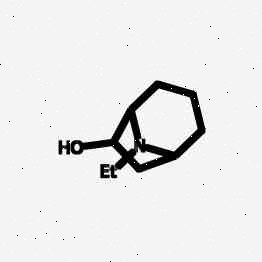 CCN1C2CCCC1C(O)C2